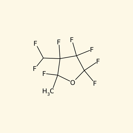 CC1(F)OC(F)(F)C(F)(F)C1(F)C(F)F